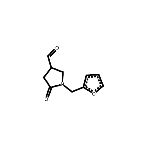 O=CC1CC(=O)N(Cc2ccco2)C1